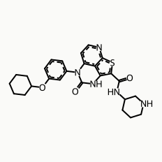 O=C(NC1CCCNC1)c1sc2nccc3c2c1NC(=O)N3c1cccc(OC2CCCCC2)c1